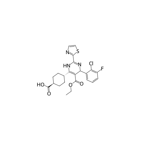 CCOC(=O)C1=C([C@H]2CC[C@H](C(=O)O)CC2)NC(c2nccs2)=NC1c1cccc(F)c1Cl